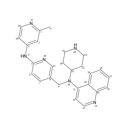 Cc1cc(Nc2ccc(CN(c3ccnc4ccccc34)C3CCNCC3)cn2)ccn1